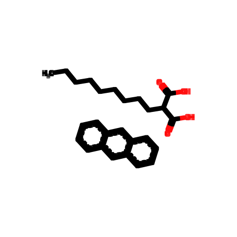 CCCCCCCCCC(C(=O)O)C(=O)O.c1ccc2cc3ccccc3cc2c1